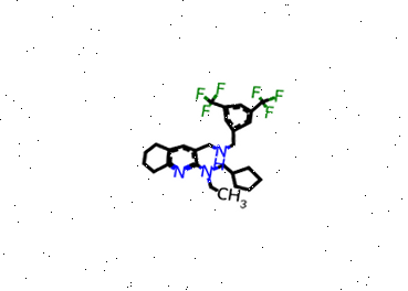 CCN(CC1CCCC1)c1nc2c(cc1CNCc1cc(C(F)(F)F)cc(C(F)(F)F)c1)CCCC2